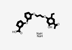 CCc1cc(C(C)=O)c(O)cc1OCCCOc1cccc(Oc2cccc(C(=O)O)c2)c1.[NaH].[NaH]